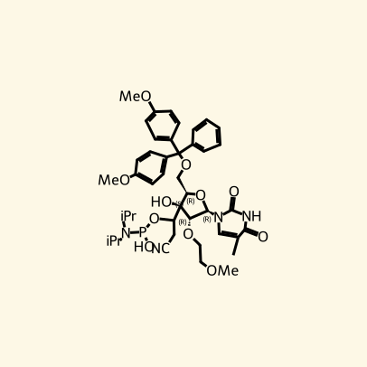 COCCO[C@H]1[C@H](n2cc(C)c(=O)[nH]c2=O)O[C@H](COC(c2ccccc2)(c2ccc(OC)cc2)c2ccc(OC)cc2)[C@@]1(O)C(CC#N)OP(O)N(C(C)C)C(C)C